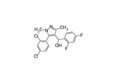 Cc1nn(C)c(-c2ccc(Cl)cc2Cl)c1C(O)c1ccc(F)cc1F